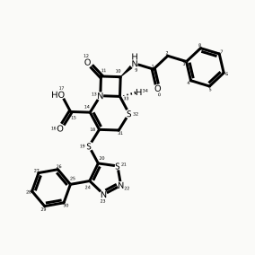 O=C(Cc1ccccc1)N[C@@H]1C(=O)N2C(C(=O)O)=C(Sc3snnc3-c3ccccc3)CS[C@H]12